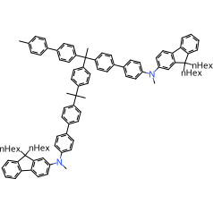 CCCCCCC1(CCCCCC)c2ccccc2-c2ccc(N(C)c3ccc(-c4ccc(C(C)(C)c5ccc(C(C)(c6ccc(-c7ccc(C)cc7)cc6)c6ccc(-c7ccc(N(C)c8ccc9c(c8)C(CCCCCC)(CCCCCC)c8ccccc8-9)cc7)cc6)cc5)cc4)cc3)cc21